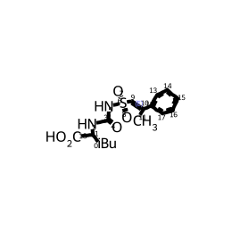 CCC(C)C(NC(=O)NS(=O)(=O)/C=C(\C)c1ccccc1)C(=O)O